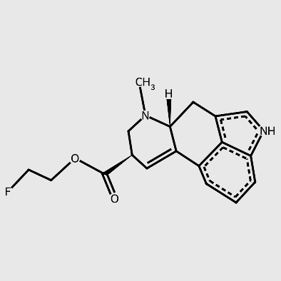 CN1C[C@H](C(=O)OCCF)C=C2c3cccc4[nH]cc(c34)C[C@H]21